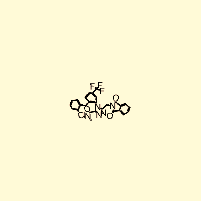 CN(C)Cc1nnc(CN2C(=O)c3ccccc3C2=O)n1-c1cc(C(F)(F)F)ccc1C(=O)c1ccccc1Cl